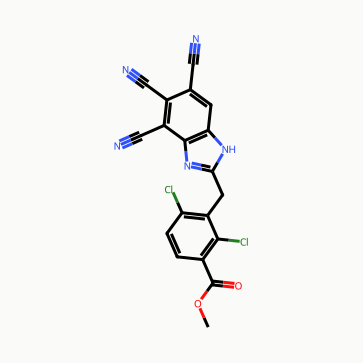 COC(=O)c1ccc(Cl)c(Cc2nc3c(C#N)c(C#N)c(C#N)cc3[nH]2)c1Cl